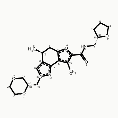 C[C@H]1Cc2oc(C(=O)NC[C@@H]3CCCO3)c(C(F)(F)F)c2-c2nn(C[C@H]3COCCO3)cc21